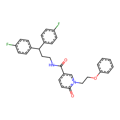 O=C(NCCC(c1ccc(F)cc1)c1ccc(F)cc1)c1ccc(=O)n(CCOc2ccccc2)c1